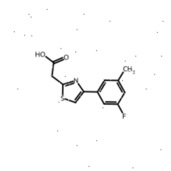 Cc1cc(F)cc(-c2csc(CC(=O)O)n2)c1